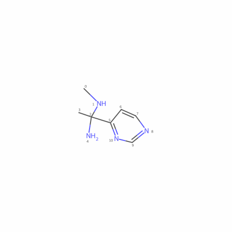 CNC(C)(N)c1ccncn1